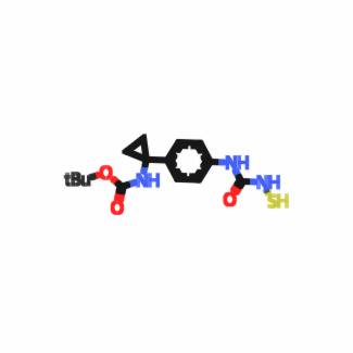 CC(C)(C)OC(=O)NC1(c2ccc(NC(=O)NS)cc2)CC1